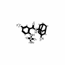 CC(C)(C)S(=O)(=O)Nc1ccc(C(F)(F)F)cc1C(=O)NC12CC3CC(CC(C#N)(C3)C1)C2